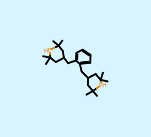 CC1(C)CC(Cc2ccccc2CC2CC(C)(C)PC(C)(C)C2)CC(C)(C)P1